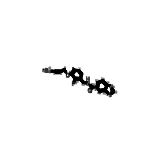 CCCCC#CCOc1cccc(CNC(=O)c2ccc3ncsc3c2)c1F